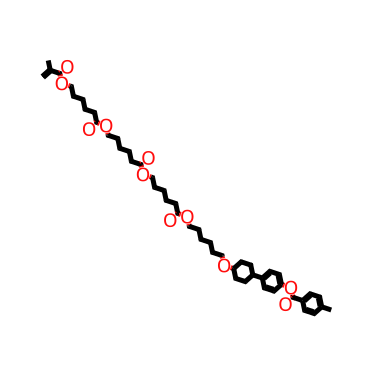 C=C(C)C(=O)OCCCCCC(=O)OCCCCCC(=O)OCCCCCC(=O)OCCCCCCOC1CCC(c2ccc(OC(=O)c3ccc(C)cc3)cc2)CC1